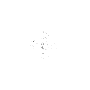 c1ccc(C[SiH]2O[SiH](Cc3ccccc3)O[SiH](Cc3ccccc3)O[SiH](Cc3ccccc3)O2)cc1